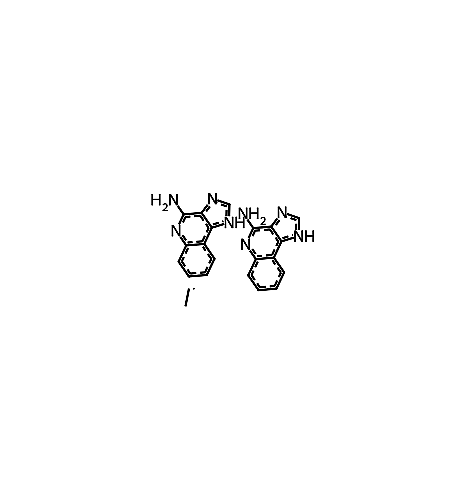 Nc1nc2ccccc2c2[nH]cnc12.Nc1nc2ccccc2c2[nH]cnc12.[CH2]C